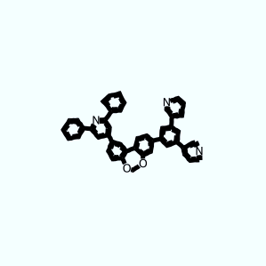 c1ccc(-c2cc(-c3ccc4c(c3)-c3ccc(-c5cc(-c6cccnc6)cc(-c6cccnc6)c5)cc3OCO4)cc(-c3ccccc3)n2)cc1